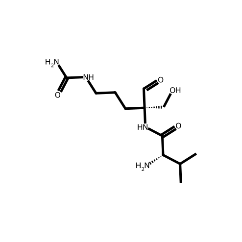 CC(C)[C@H](N)C(=O)N[C@@](C=O)(CO)CCCNC(N)=O